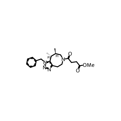 COC(=O)CCC(=O)N1CCc2nnn(Cc3ccccc3)c2[C@H](C)[C@@H](C)C1